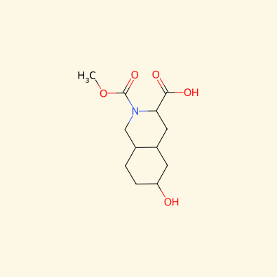 COC(=O)N1CC2CCC(O)CC2CC1C(=O)O